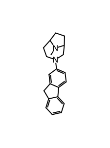 CN1C2CCC1CN(c1ccc3c(c1)Cc1ccccc1-3)CC2